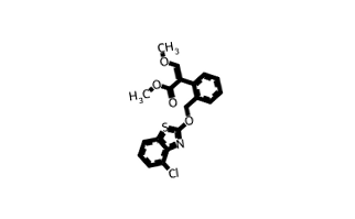 COC=C(C(=O)OC)c1ccccc1COc1nc2c(Cl)cccc2s1